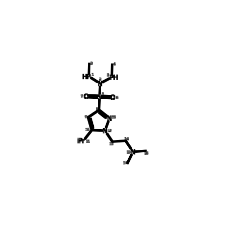 CPN(PC)S(=O)(=O)c1cc(C(C)C)n(CCN(C)C)n1